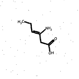 CCC=C(N)CC(=O)O